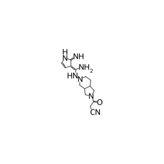 N#CCC(=O)N1CC2CCN(N/C(N)=C3\C=CNC3=N)CC2C1